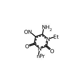 CCCn1c(=O)c(N=O)c(N)n(CC)c1=O